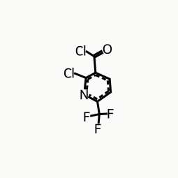 O=C(Cl)c1ccc(C(F)(F)F)nc1Cl